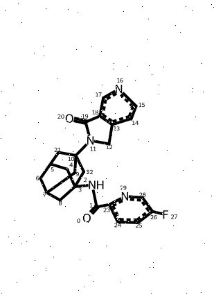 O=C(NC12CC3CC(C1)CC(N1Cc4ccncc4C1=O)(C3)C2)c1ccc(F)cn1